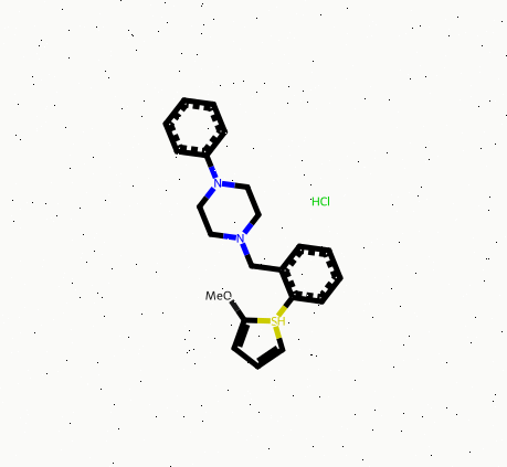 COC1=CC=C[SH]1c1ccccc1CN1CCN(c2ccccc2)CC1.Cl